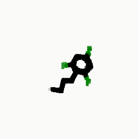 [CH2]CCCc1c(F)cc(F)cc1F